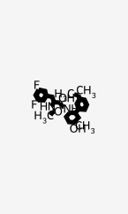 CC(=O)NC(Cc1cc(F)cc(F)c1)C(O)CNC1CCC(C)(O)CC1c1cccc(C(C)C)c1